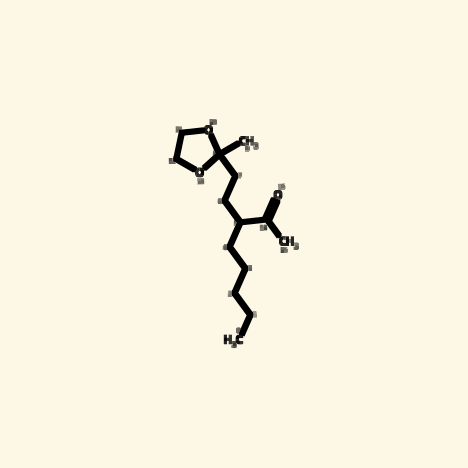 CCCCCC(CCC1(C)OCCO1)C(C)=O